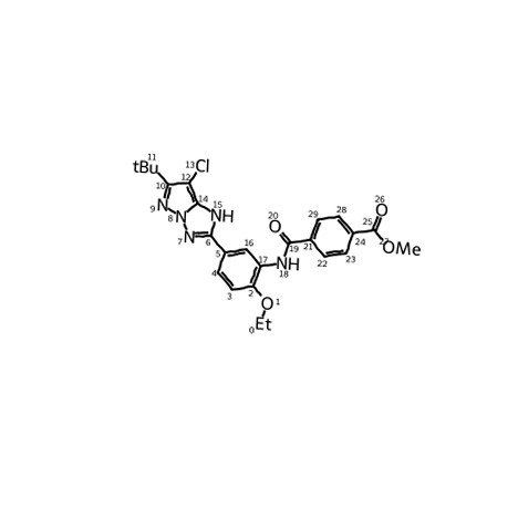 CCOc1ccc(-c2nn3nc(C(C)(C)C)c(Cl)c3[nH]2)cc1NC(=O)c1ccc(C(=O)OC)cc1